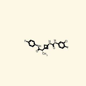 C[C@H](C(=O)Nc1ccc(F)cc1)C12CC(NC(=O)Nc3ccc(F)c(Cl)c3)(C1)C2